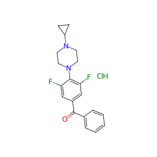 Cl.O=C(c1ccccc1)c1cc(F)c(N2CCN(C3CC3)CC2)c(F)c1